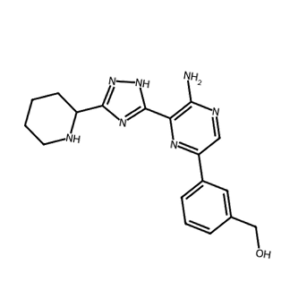 Nc1ncc(-c2cccc(CO)c2)nc1-c1nc(C2CCCCN2)n[nH]1